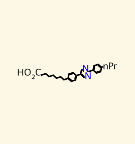 CCCc1ccc(-c2ncc(-c3ccc(CCCCCCCC(=O)O)cc3)cn2)cc1